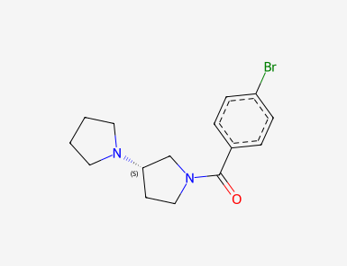 O=C(c1ccc(Br)cc1)N1CC[C@H](N2CCCC2)C1